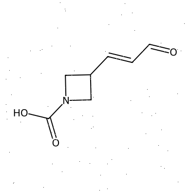 O=CC=CC1CN(C(=O)O)C1